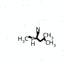 CCPC(C#N)CC(C)C